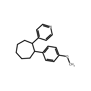 COc1ccc(C2CCCCCC2c2ccncc2)cc1